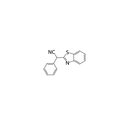 N#CC(c1ccccc1)c1nc2ccccc2s1